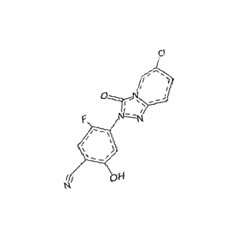 N#Cc1cc(F)c(-n2nc3ccc(Cl)cn3c2=O)cc1O